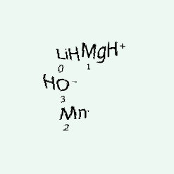 [LiH].[MgH+].[Mn].[OH-]